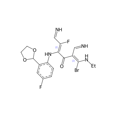 CCN/C(Br)=C(\C=N)C(=O)/C(Nc1ccc(F)cc1C1OCCO1)=C(\F)C=N